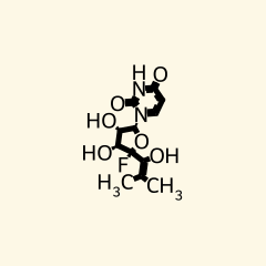 CC(C)=C(O)[C@@]1(F)O[C@@H](n2ccc(=O)[nH]c2=O)[C@H](O)[C@@H]1O